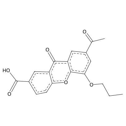 CCCOc1cc(C(C)=O)cc2c(=O)c3cc(C(=O)O)ccc3oc12